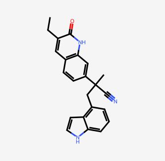 CCc1cc2ccc(C(C)(C#N)Cc3cccc4[nH]ccc34)cc2[nH]c1=O